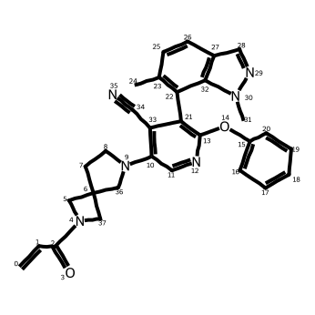 C=CC(=O)N1CC2(CCN(c3cnc(Oc4ccccc4)c(-c4c(C)ccc5cnn(C)c45)c3C#N)C2)C1